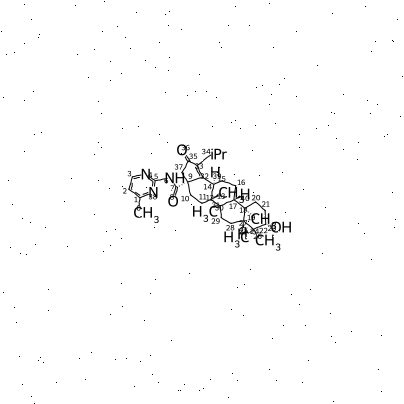 Cc1ccnc(NC(=O)[C@@]23CC[C@]4(C)[C@H](CC[C@@H]5[C@@]6(C)CC[C@H](O)C(C)(C)[C@@H]6CC[C@]54C)C2=C(C(C)C)C(=O)C3)n1